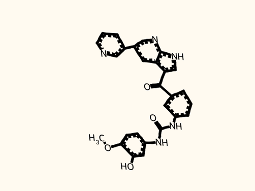 COc1ccc(NC(=O)Nc2cccc(C(=O)c3c[nH]c4ncc(-c5cccnc5)cc34)c2)cc1O